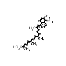 CCCCCCCCOc1c(CCC(C)CCCC(C)CCC/C(C)=C/CCC(C)C(=O)O)ccc(C)c1C